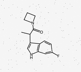 CC(C(=O)N1CCC1)c1c[nH]c2cc(F)ccc12